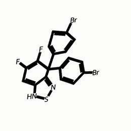 FC1=C(F)C(c2ccc(Br)cc2)(c2ccc(Br)cc2)C2=NSNC2=C1